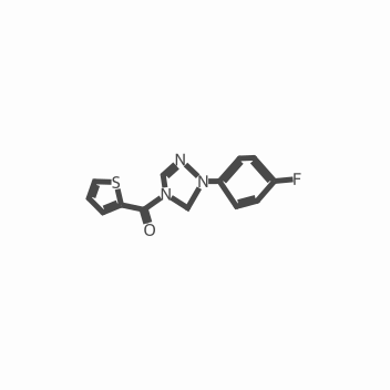 O=C(c1cccs1)N1C=NN(c2ccc(F)cc2)C1